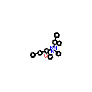 c1ccc(-c2ccc(-c3ccc(-c4nc(-c5ccccc5)nc(-c5ccc(-c6ccccc6)c6ccccc56)n4)c4c3oc3ccccc34)cc2)cc1